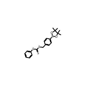 CC1(C)OB(c2ccc(CSC(=S)Sc3ccccc3)cc2)OC1(C)C